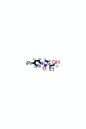 CC[C@@H]([C@@H](C)O)n1ccn(-c2ccc(C(C)C)cn2)c1=O